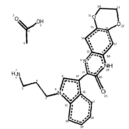 CC(=O)O.NCCCn1cc(-c2nc3cc4c(cc3[nH]c2=O)OCCO4)c2ccccc21